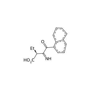 CC[C@@H](C(=N)C(=O)c1cccc2ccccc12)C(=O)O